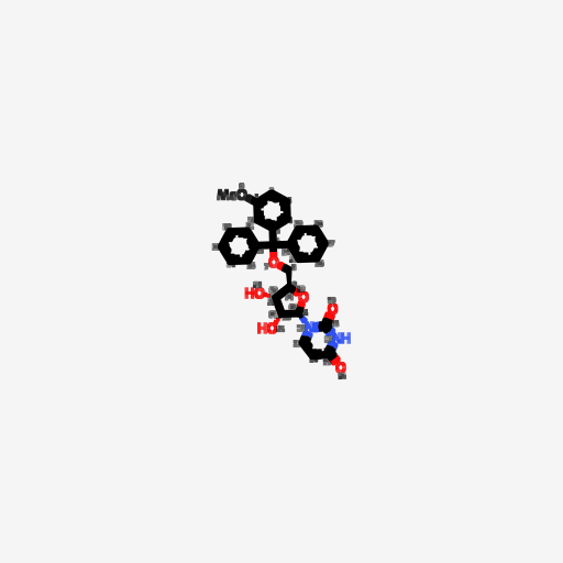 COc1cccc(C(OC[C@H]2O[C@@H](n3ccc(=O)[nH]c3=O)[C@H](O)[C@@H]2O)(c2ccccc2)c2ccccc2)c1